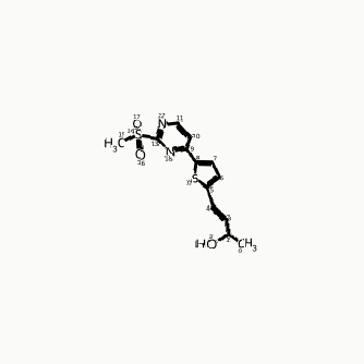 CC(O)/C=C/c1ccc(-c2ccnc(S(C)(=O)=O)n2)s1